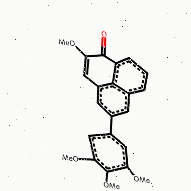 COC1=Cc2cc(-c3cc(OC)c(OC)c(OC)c3)cc3cccc(c23)C1=O